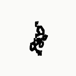 N#Cc1ccccc1C(=O)N[C@H]1CC[C@H]1c1ccc(F)cc1F